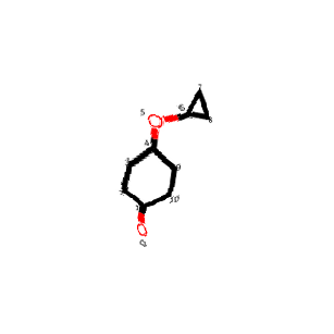 O=C1CCC(OC2CC2)CC1